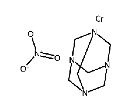 C1N2CN3CN1CN(C2)C3.O=[N+]([O-])[O-].[Cr]